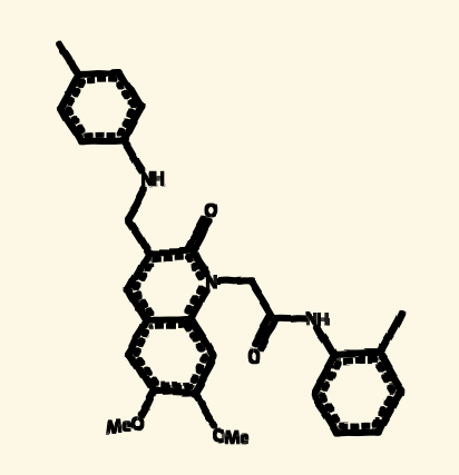 COc1cc2cc(CNc3ccc(C)cc3)c(=O)n(CC(=O)Nc3ccccc3C)c2cc1OC